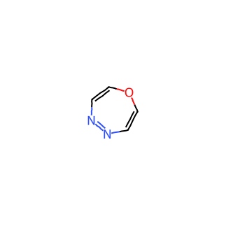 C1=COC=CN=N1